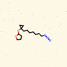 [N-]=[N+]=NCCCCCCCC1(OC2CCCO2)CC1